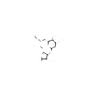 CC(=O)OC[C@H]1OC(O)[C@H](OC(C)=O)[C@@H]1OC1C[C@@H](OC(C)=O)[C@H](OC(C)=O)[C@H](CN=[N+]=[N-])O1